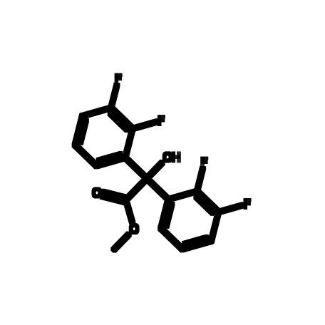 COC(=O)C(O)(c1cccc(F)c1F)c1cccc(F)c1F